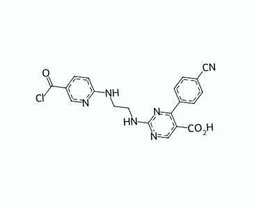 N#Cc1ccc(-c2nc(NCCNc3ccc(C(=O)Cl)cn3)ncc2C(=O)O)cc1